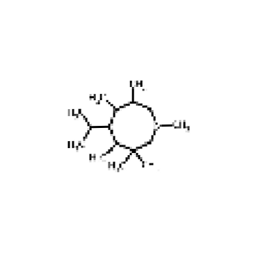 CC(C)C1C(C)C(C)CN(C)CC(C)(C)C1C